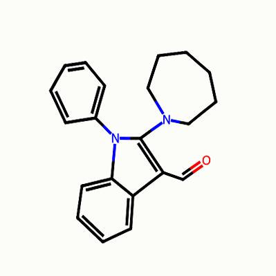 O=Cc1c(N2CCCCCC2)n(-c2ccccc2)c2ccccc12